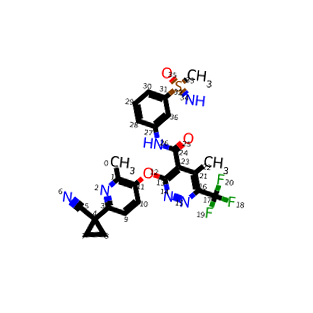 Cc1nc(C2(C#N)CC2)ccc1Oc1nnc(C(F)(F)F)c(C)c1C(=O)Nc1cccc(S(C)(=N)=O)c1